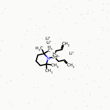 C=C[CH2][ZnH2-3]([CH2]C=C)[N]1C(C)(C)CCCC1(C)C.[Li+].[Li+].[Li+]